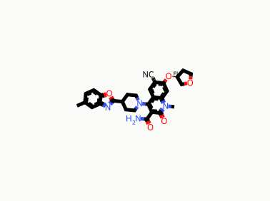 Cc1ccc2oc(C3CCN(c4c(C(N)=O)c(=O)n(C)c5cc(O[C@@H]6CCOC6)c(C#N)cc45)CC3)nc2c1